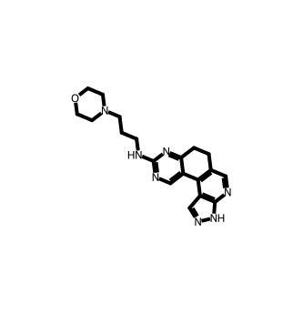 c1nc2[nH]ncc2c2c1CCc1nc(NCCCN3CCOCC3)ncc1-2